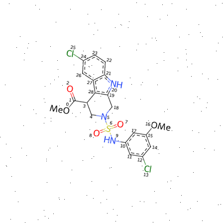 COC(=O)C1CN(S(=O)(=O)Nc2cc(Cl)cc(OC)c2)Cc2[nH]c3ccc(Cl)cc3c21